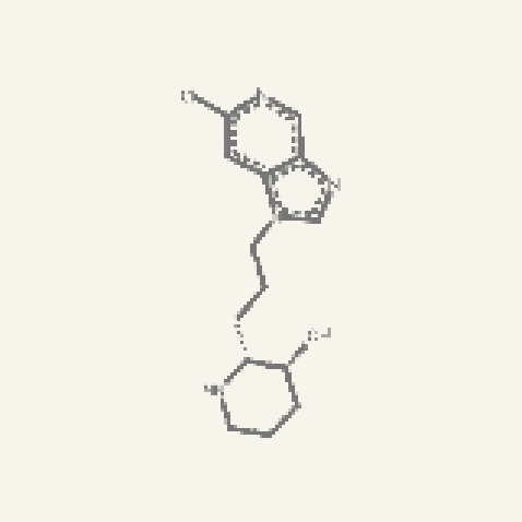 O[C@H]1CCCN[C@@H]1CCCn1cnc2cnc(Cl)cc21